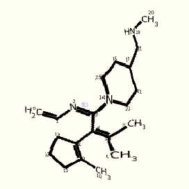 C=C/N=C(\C(=C(C)C)C1=C(C)CCC1)N1CCC(CNC)CC1